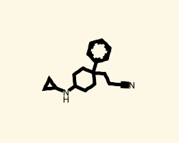 N#CCCC1(c2ccccc2)CCC(NC2CC2)CC1